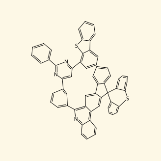 c1ccc(-c2nc(-c3cccc(-c4nc5ccccc5c5cc6c(cc45)-c4ccccc4C64c5ccccc5Sc5ccccc54)c3)cc(-c3cccc4c3sc3ccccc34)n2)cc1